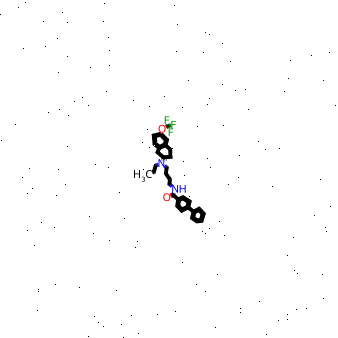 CCCN(CCCCNC(=O)c1ccc(-c2ccccc2)cc1)[C@@H]1CCc2cc(OC(F)(F)F)ccc2C1